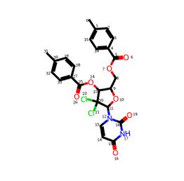 Cc1ccc(C(=O)OCC2OC(n3ccc(=O)[nH]c3=O)C(Cl)(Cl)C2OC(=O)c2ccc(C)cc2)cc1